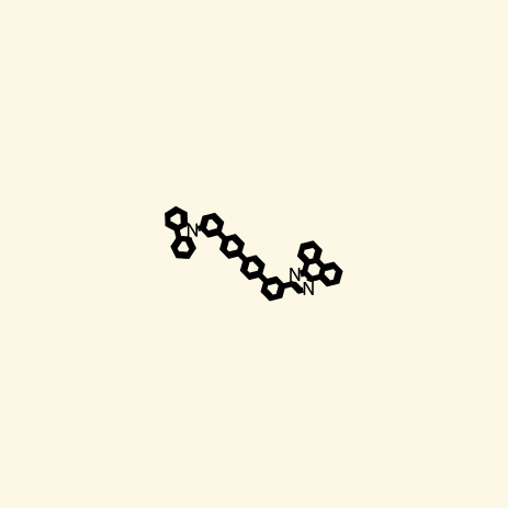 c1cc(-c2ccc(-c3ccc(-c4cccc(-n5c6ccccc6c6ccccc65)c4)cc3)cc2)cc(-c2cnc3c4ccccc4c4ccccc4c3n2)c1